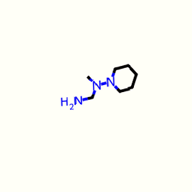 CN(CN)N1CCCCC1